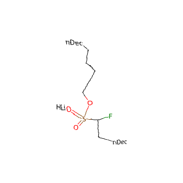 CCCCCCCCCCCCCCOS(=O)(=O)C(F)CCCCCCCCCCC.[LiH]